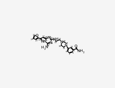 NC(=O)c1cccc(N2CCN(CCNc3nc(N)n4nc(-c5ccco5)cc4n3)CC2)c1